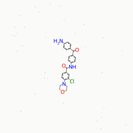 Nc1ccc(C(=O)c2ccc(NC(=O)c3ccc(N4CCOCC4)c(Cl)c3)cc2)cc1